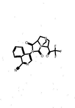 N#Cc1ncc(N2C(=O)C3CN4CC(C(=O)C(F)(F)F)[N+]3(C4)C2=O)c2ccccc12